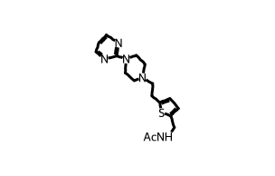 CC(=O)NCc1ccc(CCN2CCN(c3ncccn3)CC2)s1